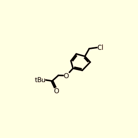 CC(C)(C)C(=O)COc1ccc(CCl)cc1